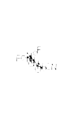 N#Cc1cccc(N2CCN(C(=O)Cn3nc(-c4ccc(F)cc4)nc3-c3ccc(F)cc3)CC2=O)c1